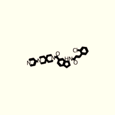 O=C(/C=C/c1ccccc1Cl)NC1CCc2ccc(C(=O)N3CCC4(CC3)CCN(c3ccncc3)CC4)cc21